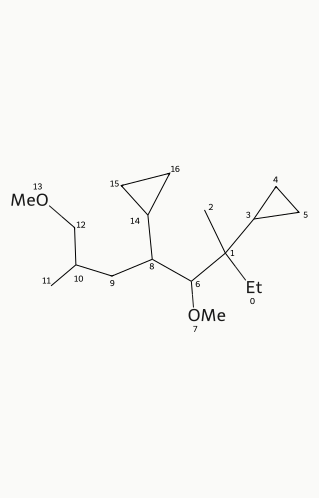 [CH2]CC(C)(C1CC1)C(OC)C(CC(C)COC)C1CC1